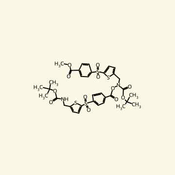 COC(=O)c1ccc(S(=O)(=O)c2ccc(CN(OC(=O)c3ccc(S(=O)(=O)c4ccc(CNC(=O)OC(C)(C)C)s4)cc3)C(=O)OC(C)(C)C)s2)cc1